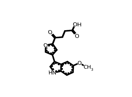 COc1ccc2[nH]cc(-c3coc(C(=O)CCC(=O)O)c3)c2c1